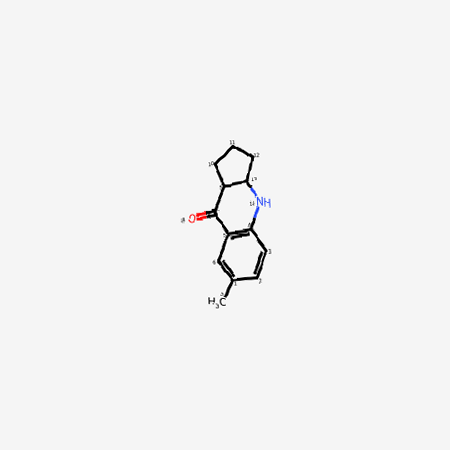 Cc1ccc2c(c1)C(=O)C1CCCC1N2